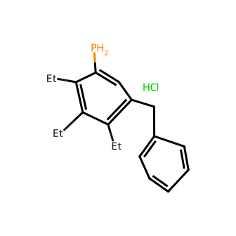 CCc1c(P)cc(Cc2ccccc2)c(CC)c1CC.Cl